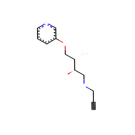 C#CCNC[C@@H](O)[C@@H](N)COc1cccnc1